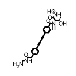 C[C@@H](O)[C@H](NC(=O)c1ccc(C#CC#Cc2ccc(CC(=O)NCN)cc2)cc1)C(=O)NO